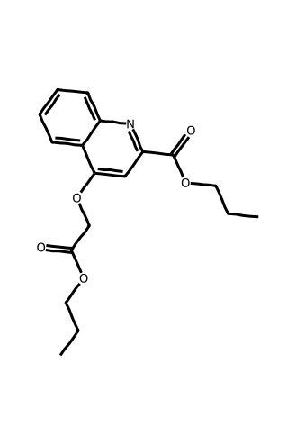 CCCOC(=O)COc1cc(C(=O)OCCC)nc2ccccc12